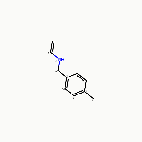 C=CNCc1ccc(C)cc1